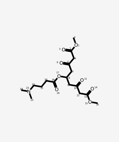 COC(=O)CC(=O)CC(CC(=O)CC(=O)OC)OC(=O)CCCN(C)C